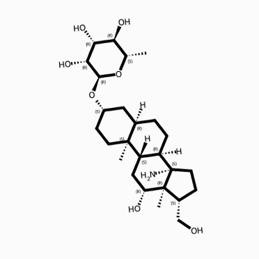 C[C@@H]1O[C@@H](O[C@H]2CC[C@@]3(C)[C@H](CC[C@@H]4[C@@H]3C[C@@H](O)[C@]3(C)[C@@H](CO)CC[C@]43N)C2)[C@H](O)[C@H](O)[C@H]1O